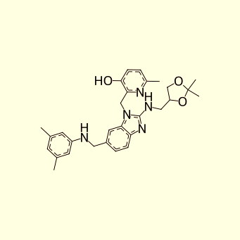 Cc1cc(C)cc(NCc2ccc3nc(NCC4COC(C)(C)O4)n(Cc4nc(C)ccc4O)c3c2)c1